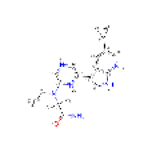 CC(C)(C(N)=O)N(CC(F)(F)F)c1cncc(-c2c[nH]c3ncc(C4CC4)cc23)n1